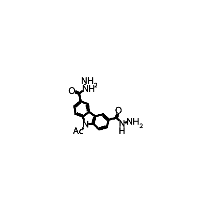 CC(=O)n1c2ccc(C(=O)NN)cc2c2cc(C(=O)NN)ccc21